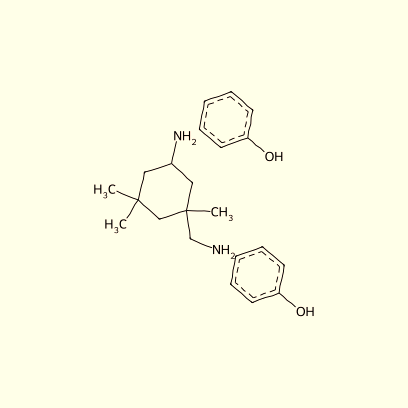 CC1(C)CC(N)CC(C)(CN)C1.Oc1ccccc1.Oc1ccccc1